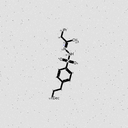 CCCCCCCCCCCCc1ccc(S(=O)(=O)N/N=C(\C)CC(C)C)cc1